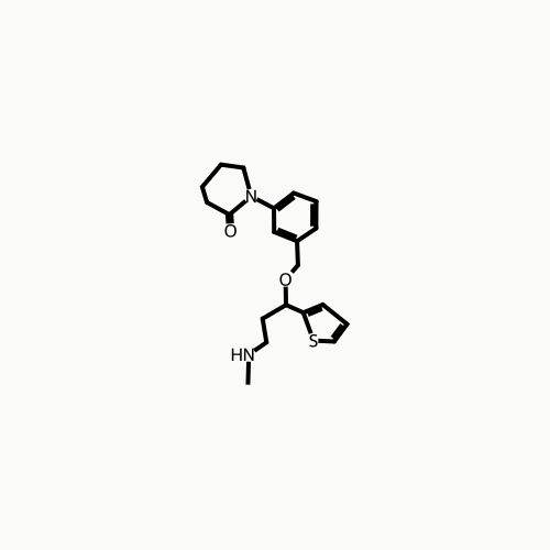 CNCCC(OCc1cccc(N2CCCCC2=O)c1)c1cccs1